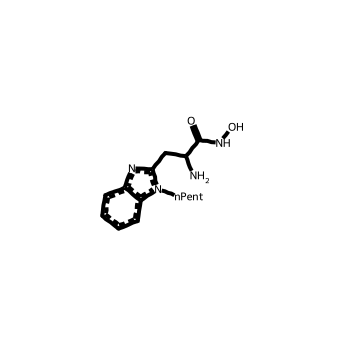 CCCCCn1c(CC(N)C(=O)NO)nc2ccccc21